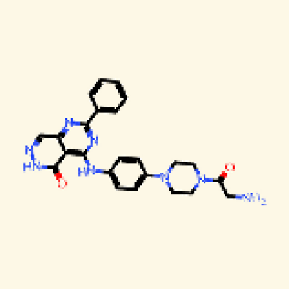 NCC(=O)N1CCN(c2ccc(Nc3nc(-c4ccccc4)nc4cn[nH]c(=O)c34)cc2)CC1